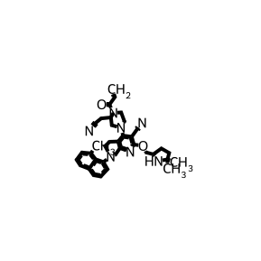 C=CC(=O)N1CCN(c2c(C#N)c(OCC3CCC(C)(C)N3)nc3c2CCN(c2cccc4cccc(C)c24)C3)CC1CC#N